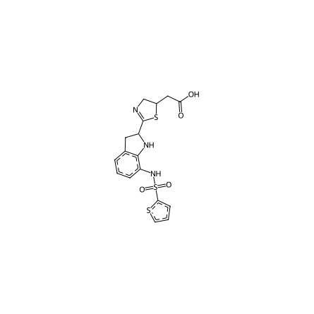 O=C(O)CC1CN=C(C2Cc3cccc(NS(=O)(=O)c4cccs4)c3N2)S1